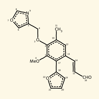 COc1c(OCc2cocn2)c(C)cc(C=CC=O)c1-c1ccco1